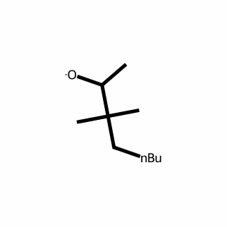 CCCCCC(C)(C)C(C)[O]